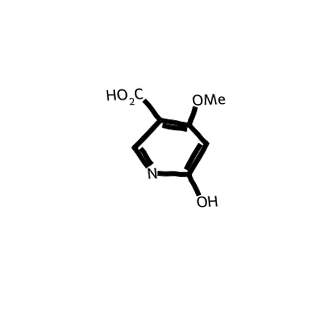 COc1cc(O)ncc1C(=O)O